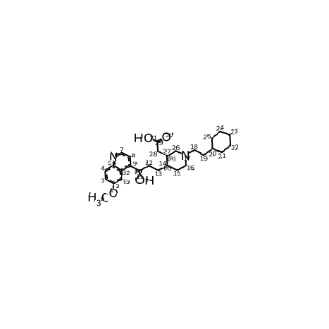 COc1ccc2nccc([C@H](O)CC[C@@H]3CCN(CCC4CCCCC4)C[C@@H]3CC(=O)O)c2c1